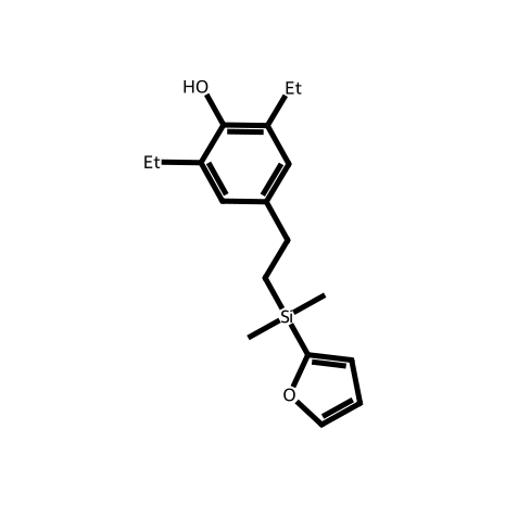 CCc1cc(CC[Si](C)(C)c2ccco2)cc(CC)c1O